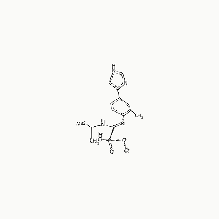 CCOP(=O)(O)/C(=N/c1ccc(-c2c[nH]cn2)cc1C)NC(C)SC